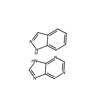 c1ccc2[nH]ncc2c1.c1ncc2nc[nH]c2n1